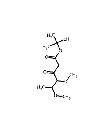 COC(C)C(OC)C(=O)CC(=O)OC(C)(C)C